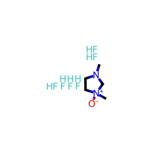 CN1CC[N+](C)([O-])C1.F.F.F.F.F.F